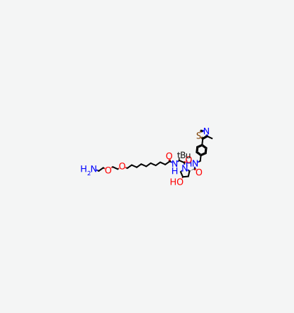 Cc1ncsc1-c1ccc(CNC(=O)[C@@H]2C[C@@H](O)CN2C(=O)[C@@H](NC(=O)CCCCCCCCCOCCOCCN)C(C)(C)C)cc1